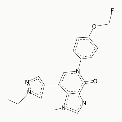 CCn1cc(-c2cn(-c3ccc(OCF)cc3)c(=O)c3ncn(C)c23)cn1